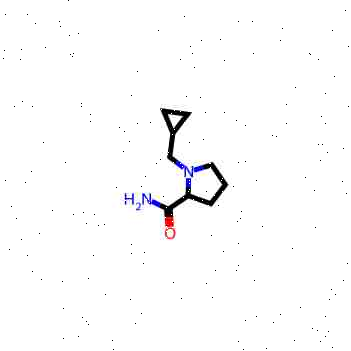 NC(=O)C1CCCN1CC1CC1